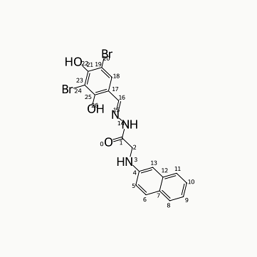 O=C(CNc1ccc2ccccc2c1)NN=Cc1cc(Br)c(O)c(Br)c1O